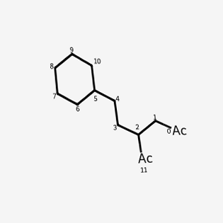 CC(=O)CC(CCC1CCCCC1)C(C)=O